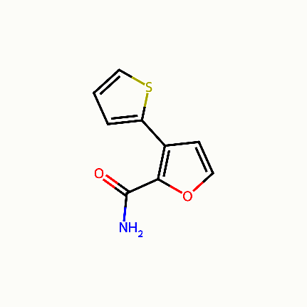 NC(=O)c1occc1-c1cccs1